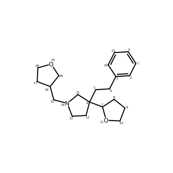 c1ccc(CCC2(C3CCCO3)CCN(CC3CCOC3)C2)cc1